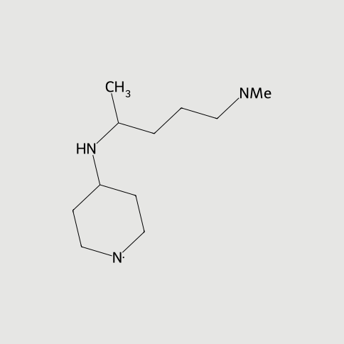 CNCCCC(C)NC1CC[N]CC1